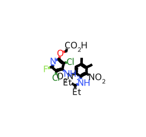 CCC(CC)Nc1c([N+](=O)[O-])cc(C)c(C)c1[N+](=O)[O-].Nc1c(Cl)c(F)nc(OCC(=O)O)c1Cl